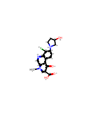 Cn1cc(C(=O)O)c(=O)c2c3ccc(N4CCC(O)C4)c(F)c3ncc21